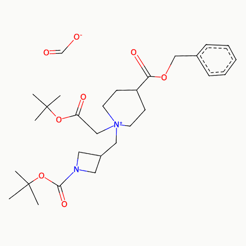 CC(C)(C)OC(=O)C[N+]1(CC2CN(C(=O)OC(C)(C)C)C2)CCC(C(=O)OCc2ccccc2)CC1.O=C[O-]